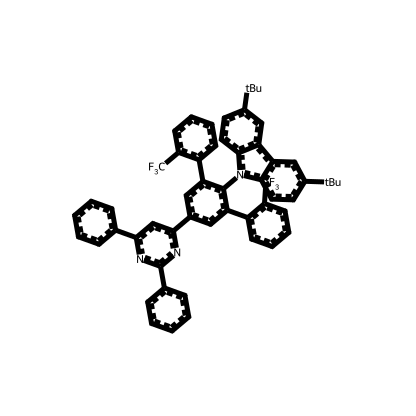 CC(C)(C)c1ccc2c(c1)c1cc(C(C)(C)C)ccc1n2-c1c(-c2ccccc2C(F)(F)F)cc(-c2cc(-c3ccccc3)nc(-c3ccccc3)n2)cc1-c1ccccc1C(F)(F)F